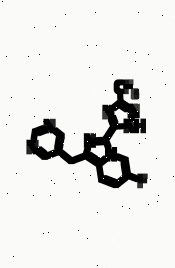 Fc1ccc2c(Cc3cncnc3)nc(-c3nc(C(F)(F)F)n[nH]3)n2c1